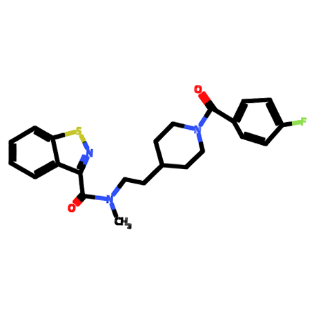 CN(CCC1CCN(C(=O)c2ccc(F)cc2)CC1)C(=O)c1nsc2ccccc12